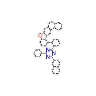 c1ccc(-c2nc(-c3ccc4ccccc4c3)nc(-c3ccccc3-c3cccc4oc5cc6ccc7ccccc7c6cc5c34)n2)cc1